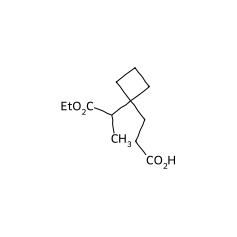 CCOC(=O)C(C)C1(CCC(=O)O)CCC1